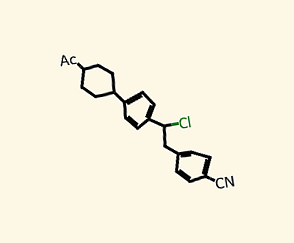 CC(=O)C1CCC(c2ccc(C(Cl)Cc3ccc(C#N)cc3)cc2)CC1